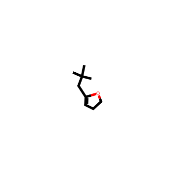 CC(C)(C)CC1=CCCO1